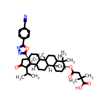 CC(C)C1=C2[C@H]3CC[C@@H]4[C@@]5(C)CC[C@H](OC(=O)CC(C)(C)C(=O)O)C(C)(C)[C@@H]5CC[C@@]4(C)[C@]3(C)CC[C@@]2(c2nnc(-c3ccc(C#N)cc3)o2)CC1=O